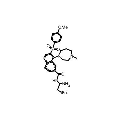 CCC(C)CC(N)NC(=O)c1ccc2ncc(S(=O)(=O)c3ccc(OC)cc3)c(N3CCCN(C)CC3)c2c1